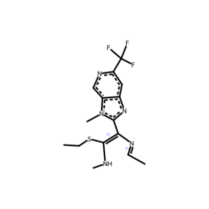 C/C=N/C(=C(\NC)SCC)c1nc2cc(C(F)(F)F)ncc2n1C